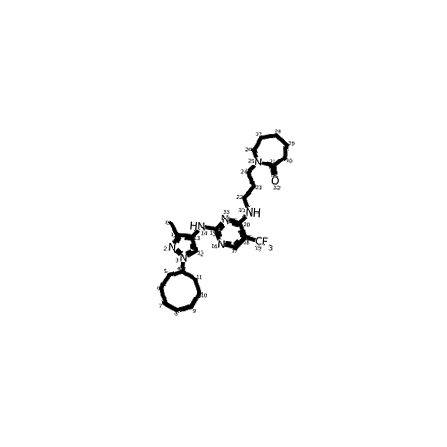 Cc1nn(C2CCCCCCC2)cc1Nc1ncc(C(F)(F)F)c(NCCCN2CCCCCC2=O)n1